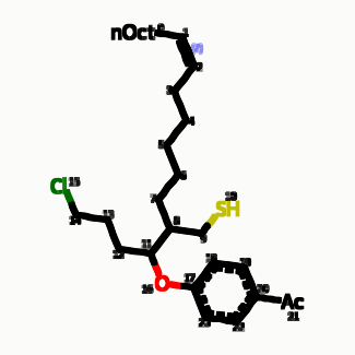 CCCCCCCC/C=C\CCCCCC(CS)C(CCCCl)Oc1ccc(C(C)=O)cc1